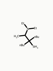 CCCCC([SiH3])(CCCC)C(C)N(CC)CC